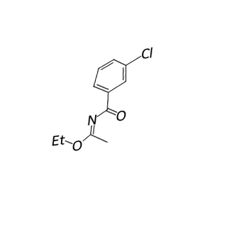 CCO/C(C)=N/C(=O)c1cccc(Cl)c1